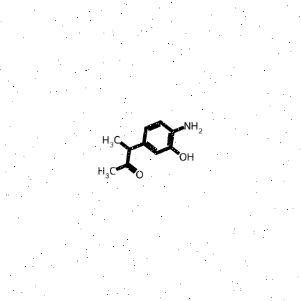 CC(=O)C(C)c1ccc(N)c(O)c1